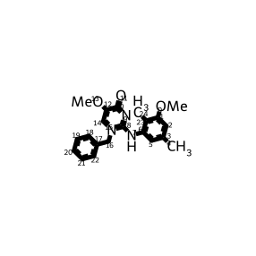 COc1cc(C)cc(Nc2nc(=O)c(OC)cn2Cc2ccccc2)c1C